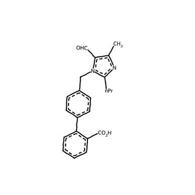 CCCc1nc(C)c(C=O)n1Cc1ccc(-c2ccccc2C(=O)O)cc1